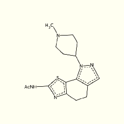 CC(=O)Nc1nc2c(s1)-c1c(cnn1C1CCN(C)CC1)CC2